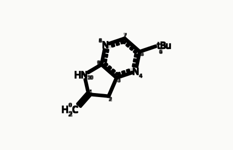 C=C1Cc2nc(C(C)(C)C)cnc2N1